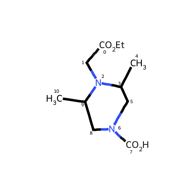 CCOC(=O)CN1C(C)CN(C(=O)O)CC1C